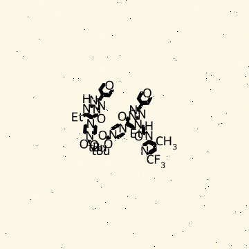 CCc1[nH]c2nc(C3=CCOCC3)nn2c(=O)c1N1CCN(C(=O)OC(C)(C)C)CC1.CCc1c(N2CCN(C(=O)OC(C)(C)C)CC2)c(=O)n2nc(C3=CCOCC3)nc2n1CC(=O)Nc1cnc(C(F)(F)F)cc1C